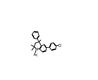 CC(=O)N1c2ccc(-c3ccc(Cl)cc3)cc2C(C)(c2ccccc2)CC1(C)C